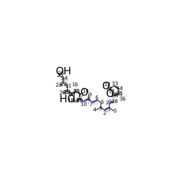 CC(=C/C(C)C/C=C/C(C)=C/[C@@H](C)C(=O)[C@@H](C)[C@H](O)[C@@H](C)C/C(C)=C/CO)/C=C/[C@@H]1OC(=O)C=C[C@@H]1C